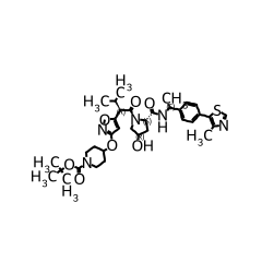 Cc1ncsc1-c1ccc([C@H](C)NC(=O)[C@@H]2C[C@@H](O)CN2C(=O)[C@@H](c2cc(OC3CCN(C(=O)OC(C)(C)C)CC3)no2)C(C)C)cc1